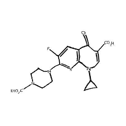 CCOC(=O)N1CCN(c2nc3c(cc2F)c(=O)c(C(=O)O)cn3C2CC2)CC1